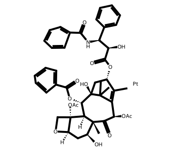 CC(=O)O[C@H]1C(=O)[C@@]2(C)[C@H]([C@H](OC(=O)c3ccccc3)[C@]3(O)C[C@H](OC(=O)[C@H](O)[C@@H](NC(=O)c4ccccc4)c4ccccc4)C(C)=C1C3(C)C)[C@]1(OC(C)=O)CO[C@@H]1C[C@@H]2O.[Pt]